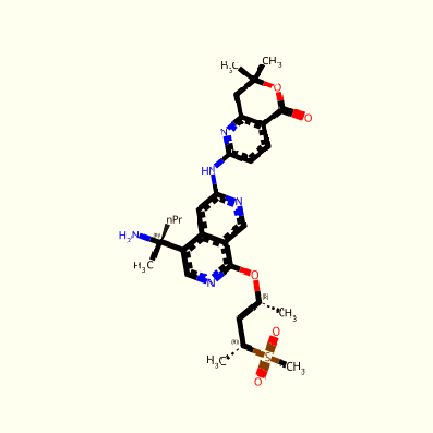 CCC[C@@](C)(N)c1cnc(O[C@H](C)C[C@@H](C)S(C)(=O)=O)c2cnc(Nc3ccc4c(n3)CC(C)(C)OC4=O)cc12